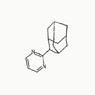 c1cnc(C2C3CC4CC(C3)CC2C4)nc1